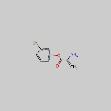 C=C(N)C(=O)Oc1cccc(Br)c1